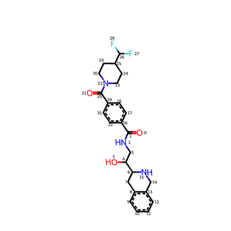 O=C(NCC(O)C1Cc2ccccc2CN1)c1ccc(C(=O)N2CCC(C(F)F)CC2)cc1